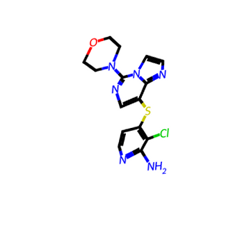 Nc1nccc(Sc2cnc(N3CCOCC3)n3ccnc23)c1Cl